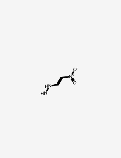 [NH]NC=C[N+](=O)[O-]